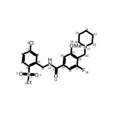 CCS(=O)(=O)c1ccc(Cl)cc1CNC(=O)c1cc(F)c(CN2CCCCC2)c(OC)c1